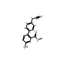 COC(=O)c1cc(O)ccc1-c1ccc(CC#N)cc1